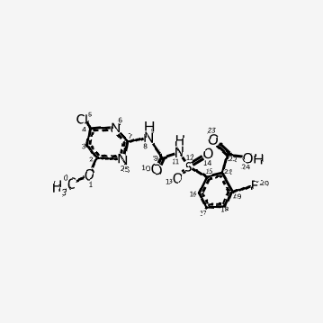 COc1cc(Cl)nc(NC(=O)NS(=O)(=O)c2cccc(F)c2C(=O)O)n1